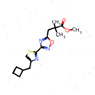 COC(=O)C(C)(C)Cc1nc(-c2nc(CC3CCC3)cs2)no1